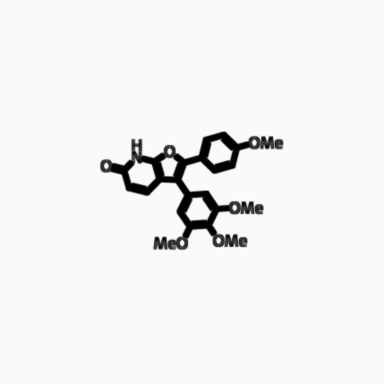 COc1ccc(-c2oc3[nH]c(=O)ccc3c2-c2cc(OC)c(OC)c(OC)c2)cc1